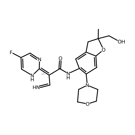 CC1(CO)Cc2cc(NC(=O)/C(C=N)=C3\N=CC(F)=CN3)c(N3CCOCC3)cc2O1